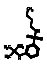 CCCCNS(=O)(=O)c1cccc(NC(C)(C)C)c1